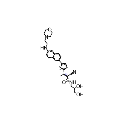 C/C(=C(/C#N)[S+]([O-])NCC(O)CO)c1ccc(-c2ccc3cc(NCCN4CCOCC4)ccc3c2)s1